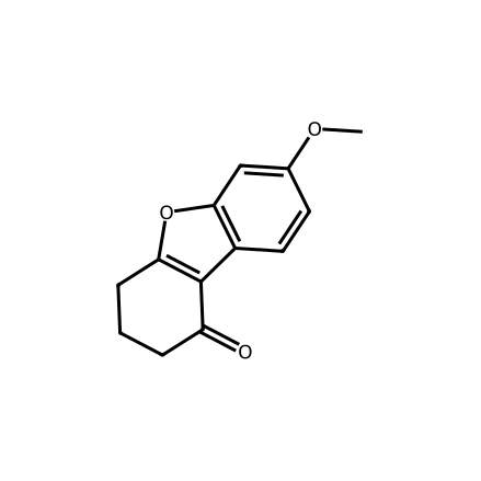 COc1ccc2c3c(oc2c1)CCCC3=O